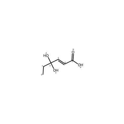 CCC(O)(O)/C=C/C(=O)O